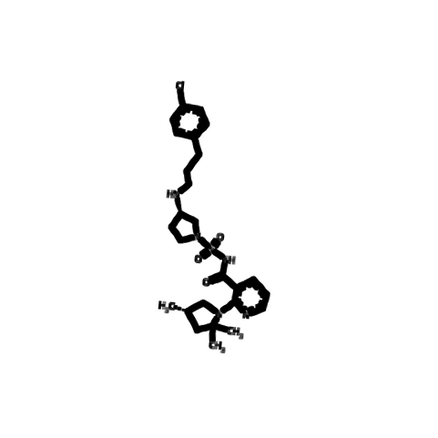 C[C@@H]1CN(c2ncccc2C(=O)NS(=O)(=O)N2CC[C@@H](NCCCc3ccc(Cl)cc3)C2)C(C)(C)C1